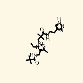 CCn1c(CNC(=O)C(C)(C)C)c(C)n[n+]1CC(C)(C)C(=O)NCCc1c[nH]nn1